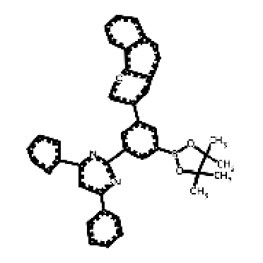 CC1(C)OB(c2cc(-c3ccc4c(ccc5ccccc54)c3)cc(-c3nc(-c4ccccc4)cc(-c4ccccc4)n3)c2)OC1(C)C